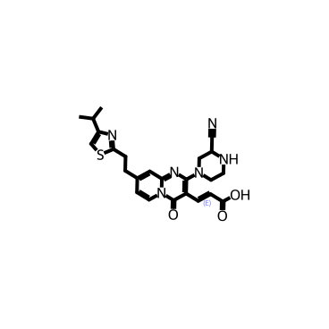 CC(C)c1csc(CCc2ccn3c(=O)c(/C=C/C(=O)O)c(N4CCNC(C#N)C4)nc3c2)n1